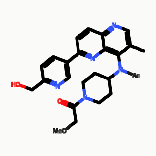 COCC(=O)N1CCC(N(C(C)=O)c2c(C)cnc3ccc(-c4ccc(CO)nc4)nc23)CC1